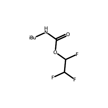 CCC(C)NC(=O)OC(F)C(F)F